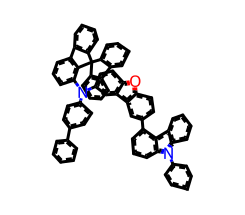 c1ccc(-c2ccc(N(c3ccc4oc5ccc(-c6cccc7c6c6ccccc6n7-c6ccccc6)cc5c4c3)c3cccc4c3C3(c5ccccc5-c5ccccc53)c3ccccc3-4)cc2)cc1